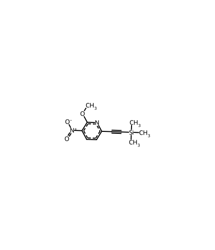 COc1nc(C#C[Si](C)(C)C)ccc1[N+](=O)[O-]